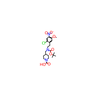 COc1cc(CCN(CC2CCN(C(=O)O)CC2)C(=O)OC(C)(C)C)c(Cl)cc1[N+](=O)[O-]